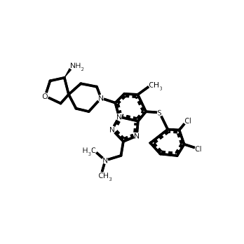 Cc1cc(N2CCC3(CC2)COC[C@H]3N)n2nc(CN(C)C)nc2c1Sc1cccc(Cl)c1Cl